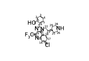 Oc1ccccc1-c1nc2c(C(F)(F)F)nc3cc(Cl)ccc3c2n1CCC1CCNCC1